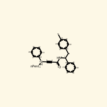 CCCCC[SiH](C#CC(=O)NC(Cc1ccc(C)cc1)c1ccccc1)c1ccccc1